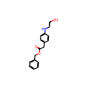 O=C(Cc1ccc(NCCO)cc1)OCc1ccccc1